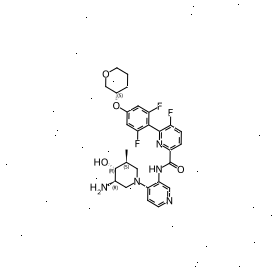 C[C@H]1CN(c2ccncc2NC(=O)c2ccc(F)c(-c3c(F)cc(O[C@H]4CCCOC4)cc3F)n2)C[C@@H](N)[C@@H]1O